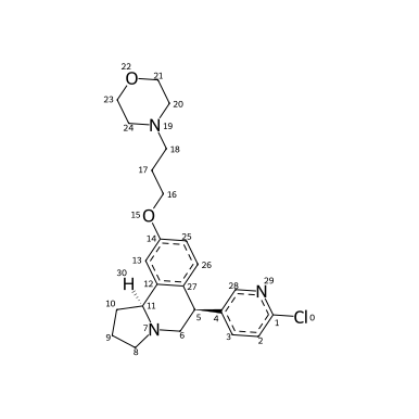 Clc1ccc([C@H]2CN3CCC[C@H]3c3cc(OCCCN4CCOCC4)ccc32)cn1